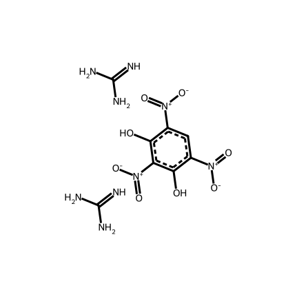 N=C(N)N.N=C(N)N.O=[N+]([O-])c1cc([N+](=O)[O-])c(O)c([N+](=O)[O-])c1O